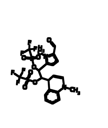 CN1C=CC(C(OS(=O)(=O)C(F)(F)F)C(OS(=O)(=O)C(F)(F)F)c2ccc(C=O)n2C)c2ccccc21